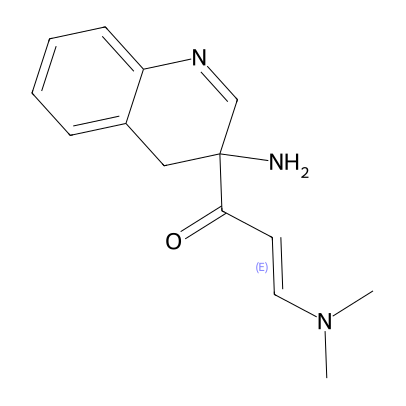 CN(C)/C=C/C(=O)C1(N)C=Nc2ccccc2C1